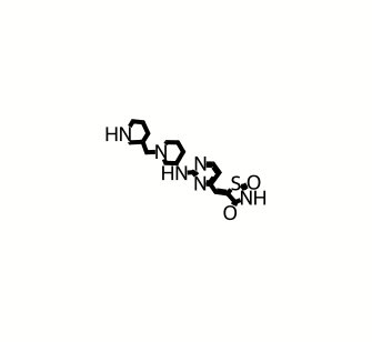 O=C1NC(=O)/C(=C/c2ccnc(N[C@H]3CCCN(CC4CCCNC4)C3)n2)S1